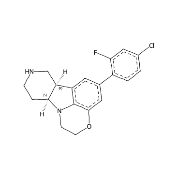 Fc1cc(Cl)ccc1-c1cc2c3c(c1)[C@@H]1CNCC[C@@H]1N3CCO2